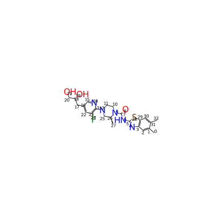 Cc1cc2nc(NC(=O)N3CCN(c4ncc(C[C@@H](O)CO)cc4F)C[C@@H]3C)sc2cc1C